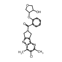 Cc1nc2c3c(nn2c(C)c1Cl)CN(C(=O)c1ccccc1OC1COCC1O)C3